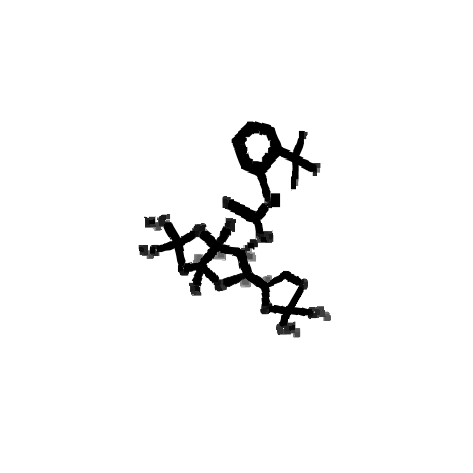 CC1(C)O[C@H]2O[C@H]([C@H]3COC(C)(C)O3)[C@@H](NC(=S)Nc3ccccc3C(F)(F)F)[C@H]2O1